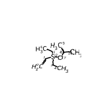 C=C[Si](CC)(CC)OC(C)C